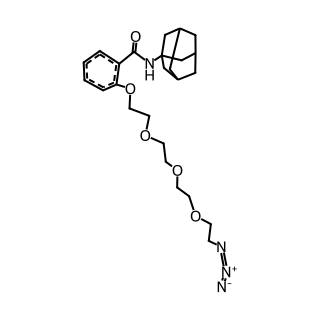 [N-]=[N+]=NCCOCCOCCOCCOc1ccccc1C(=O)NC12CC3CC(CC(C3)C1)C2